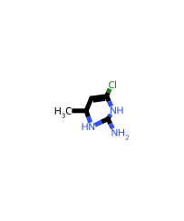 CC1C=C(Cl)NC(N)N1